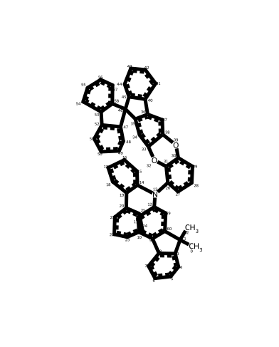 CC1(C)c2ccccc2-c2ccc(N(c3ccccc3-c3ccccc3)c3cccc4c3Oc3cc5c(cc3O4)-c3ccccc3C53c4ccccc4-c4ccccc43)cc21